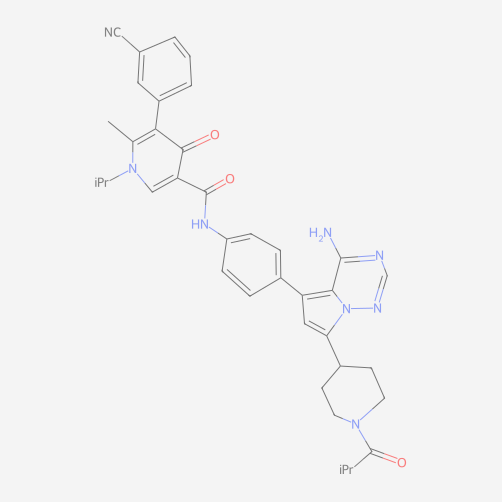 Cc1c(-c2cccc(C#N)c2)c(=O)c(C(=O)Nc2ccc(-c3cc(C4CCN(C(=O)C(C)C)CC4)n4ncnc(N)c34)cc2)cn1C(C)C